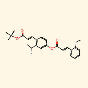 CCc1ccccc1/C=C/C(=O)Oc1ccc(/C=C/C(=O)OC(C)(C)C)c(C(C)C)c1